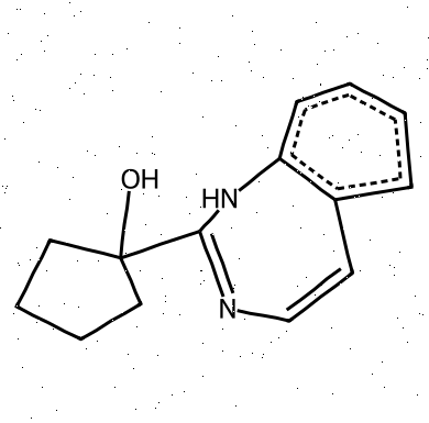 OC1(C2=NC=Cc3ccccc3N2)CCCC1